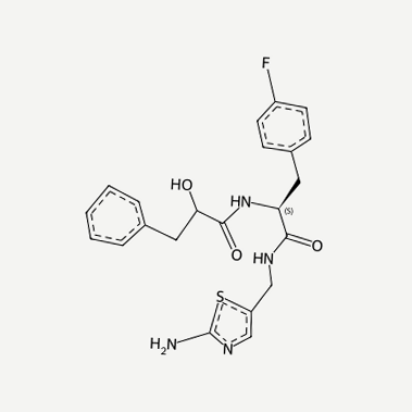 Nc1ncc(CNC(=O)[C@H](Cc2ccc(F)cc2)NC(=O)C(O)Cc2ccccc2)s1